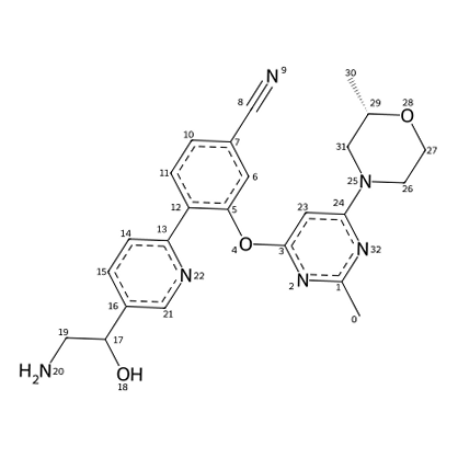 Cc1nc(Oc2cc(C#N)ccc2-c2ccc(C(O)CN)cn2)cc(N2CCO[C@@H](C)C2)n1